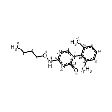 CCCCONc1ncn(-c2c(C)cccc2C)c(=O)n1